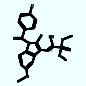 COc1ccc2c(c1)c(/C=C(\O)P(=O)(OC)OC)c(C)n2C(=O)c1ccc(Cl)cc1